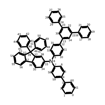 c1ccc(-c2ccc(N(c3ccc(-c4cc(-c5ccccc5)cc(-c5ccccc5)c4)cc3)c3ccc4c(c3)C(c3ccccc3)(c3ccccc3)c3ccccc3-4)cc2)cc1